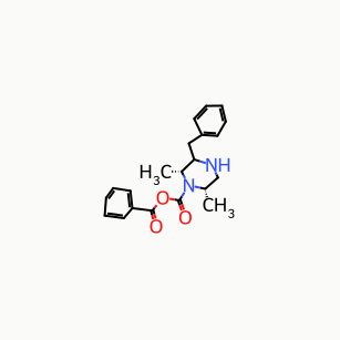 C[C@@H]1C(Cc2ccccc2)NC[C@H](C)N1C(=O)OC(=O)c1ccccc1